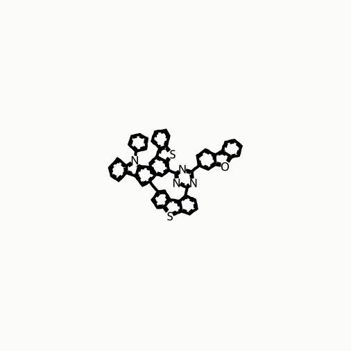 c1ccc(-n2c3ccccc3c3cc(-c4ccc5sc6cccc(-c7nc(-c8ccc9c(c8)oc8ccccc89)nc(-c8cccc9c8sc8ccccc89)n7)c6c5c4)ccc32)cc1